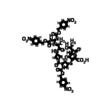 C[C@@H](NC(=NC(=O)OCc1ccc([N+](=O)[O-])cc1)NC(=O)OCc1ccc([N+](=O)[O-])cc1)C(=O)NC1CN(C(=O)[C@@H]2C[C@H](SC3=C(C(=O)O)N4C(=O)[C@H]([C@@H](C)O)[C@H]4[C@H]3C)CN2C(=O)OCc2ccc([N+](=O)[O-])cc2)C1